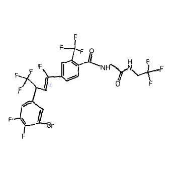 O=C(CNC(=O)c1ccc(/C(F)=C/C(c2cc(F)c(F)c(Br)c2)C(F)(F)F)cc1C(F)(F)F)NCC(F)(F)F